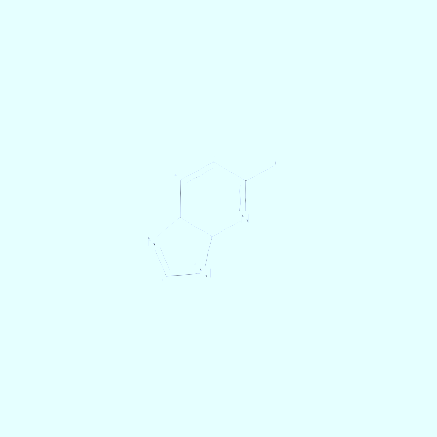 CC1=NC2NC=NC2C=C1